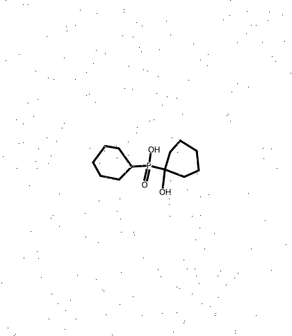 O=P(O)(C1CCCCC1)C1(O)CCCCC1